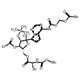 CCC(=O)O[C@H]1[C@@H](O[Si](C)(C)C)[C@](C#N)(c2ccc3c(NC(=O)OCOC(=O)C(C)(C)C)ncnn23)O[C@@H]1COC(=O)[C@@H](NC(=O)OC(C)(C)C)C(C)C